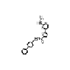 CNc1nccc(-c2ccc(C(=O)NCCc3ccc(-c4ccccc4)cc3)s2)n1